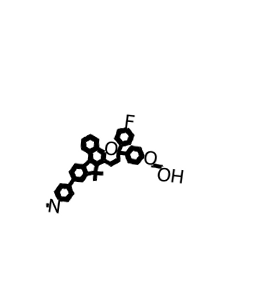 CN(C)c1ccc(-c2ccc3c(c2)C(C)(C)c2c4c(c5ccccc5c2-3)OC(c2ccc(F)cc2)(c2ccc(OCCO)cc2)C=C4)cc1